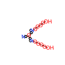 CN(C)c1ccc(C(OCc2ccc3c(c2)CCCN3CCOCCOCCOCCOCCO)c2ccc3c(c2)CCCN3CCOCCOCCOCCOCCO)cc1